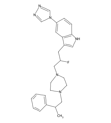 CC(CN1CCN(CC(F)Cc2c[nH]c3ccc(-n4cnnc4)cc23)CC1)c1ccccc1